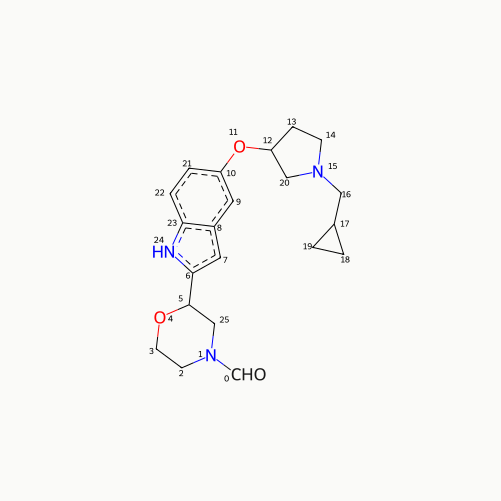 O=CN1CCOC(c2cc3cc(OC4CCN(CC5CC5)C4)ccc3[nH]2)C1